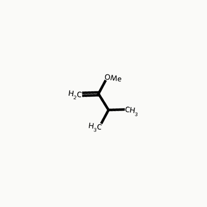 C=C(OC)C(C)C